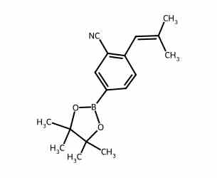 CC(C)=Cc1ccc(B2OC(C)(C)C(C)(C)O2)cc1C#N